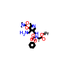 Cc1ncc(COP(=O)(N[C@@H](C)C(=O)OC(C)C)Oc2ccccc2)c(CN)c1OC(=O)N(C)C